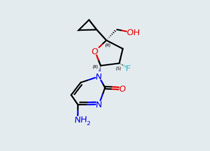 Nc1ccn([C@@H]2O[C@@](CO)(C3CC3)C[C@@H]2F)c(=O)n1